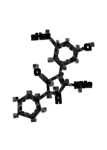 CCCCCCc1cc(Cl)cc(C2=C(NC)NC(c3ccccc3)C2=O)c1